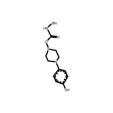 CC(C)(C)NC(=O)ON1CCN(c2ccc(O)cc2)CC1